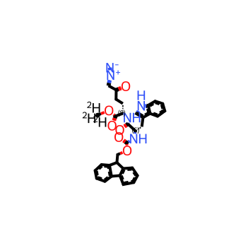 [2H]C([2H])([2H])OC(=O)[C@H](CCC(=O)C=[N+]=[N-])NC(=O)[C@H](Cc1c[nH]c2ccccc12)NC(=O)OCC1c2ccccc2-c2ccccc21